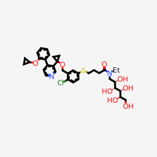 CCN(C[C@H](O)[C@@H](O)[C@H](O)[C@H](O)CO)C(=O)CCCSc1ccc(Cl)c(COC2(c3cnccc3-c3ccccc3OC3CC3)CC2)c1